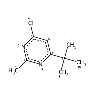 Cc1nc(Cl)cc(C(C)(C)C)n1